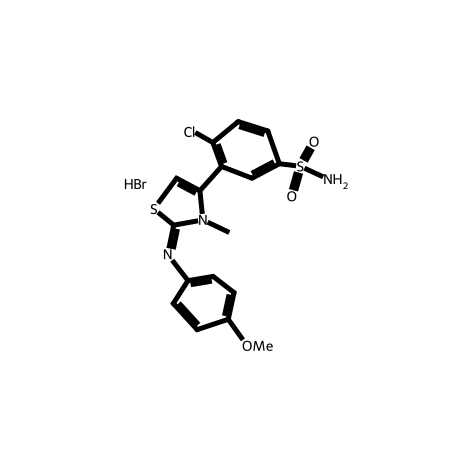 Br.COc1ccc(N=c2scc(-c3cc(S(N)(=O)=O)ccc3Cl)n2C)cc1